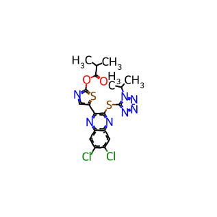 CC(C)C(=O)Oc1ncc(-c2nc3cc(Cl)c(Cl)cc3nc2Sc2nnnn2C(C)C)s1